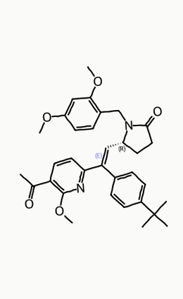 COc1ccc(CN2C(=O)CC[C@@H]2/C=C(\c2ccc(C(C)(C)C)cc2)c2ccc(C(C)=O)c(OC)n2)c(OC)c1